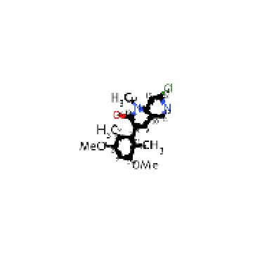 COc1cc(OC)c(C)c(-c2cc3cnc(Cl)cc3n(C)c2=O)c1C